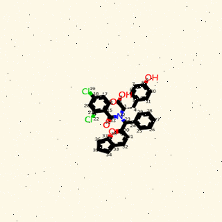 O=C(O)[C@H](Cc1ccc(O)cc1)N(C(=O)c1ccc(Cl)cc1Cl)C(c1ccccc1)c1ccc2cccc-2o1